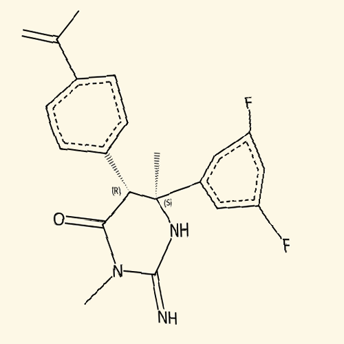 C=C(C)c1ccc([C@H]2C(=O)N(C)C(=N)N[C@]2(C)c2cc(F)cc(F)c2)cc1